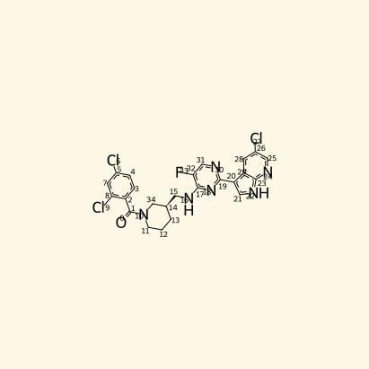 O=C(c1ccc(Cl)cc1Cl)N1CCC[C@H](CNc2nc(-c3c[nH]c4ncc(Cl)cc34)ncc2F)C1